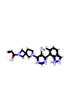 C=CC(=O)N1CC2(CCN(c3ncnc(-c4c(C)ccc5cn[nH]c45)c3C#N)C2)C1